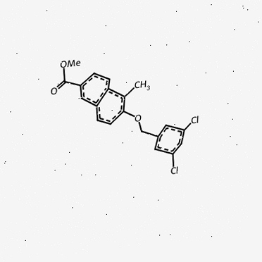 COC(=O)c1ccc2c(C)c(OCc3cc(Cl)cc(Cl)c3)ccc2c1